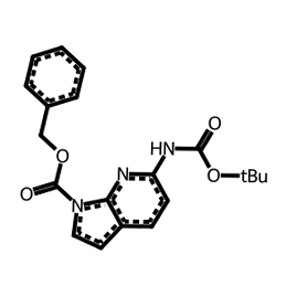 CC(C)(C)OC(=O)Nc1ccc2ccn(C(=O)OCc3ccccc3)c2n1